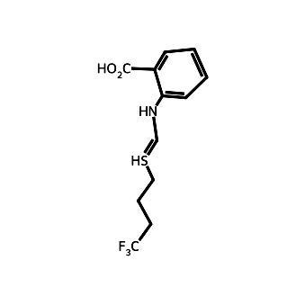 O=C(O)c1ccccc1NC=[SH]CCCC(F)(F)F